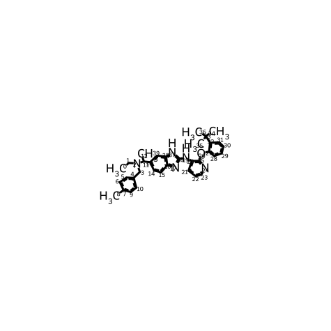 CCN(Cc1ccc(C)cc1)C(C)c1ccc2nc(Nc3cccnc3Oc3ccccc3C(C)(C)C)[nH]c2c1